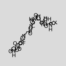 C[C@H]1CN(C(=O)CCCN2CCN(c3cc4c(cc3F)C(=O)N(C3CCC(=O)NC3=O)C4=O)CC2)CCN1c1ccc(Nc2cc(-c3ccnc(NC(=O)c4cc5c([nH]4)CC(C)(C)C5)c3CO)cn(C)c2=O)nc1